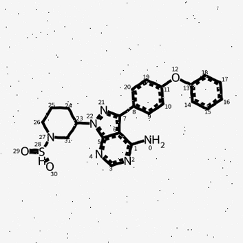 Nc1ncnc2c1c(-c1ccc(Oc3ccccc3)cc1)nn2C1CCCN([SH](=O)=O)C1